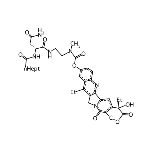 CCCCCCCC(=O)N[C@H](CC(N)=O)C(=O)NCCN(C)C(=O)Oc1ccc2nc3c(c(CC)c2c1)Cn1c-3cc2c(c1=O)COC(=O)[C@]2(O)CC